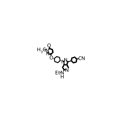 CCNc1cc2c(cn1)c(-c1ccc(C#N)cc1)nn2[C@H]1CC[C@@H](Oc2ccc(=O)n(C)n2)CC1